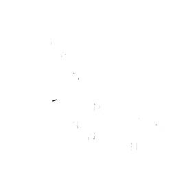 Cc1nsc(-c2nnc3n2CCN(P(=O)(c2ccccc2)c2ccccc2)[C@@H]3C)n1